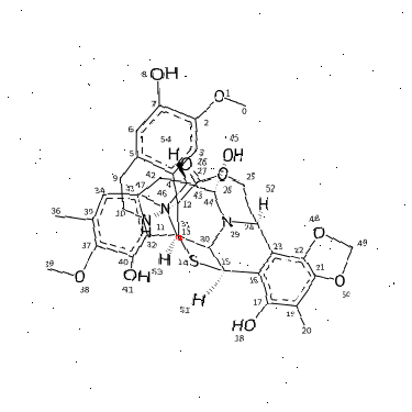 COc1cc2c(cc1O)CCN[C@]21CS[C@@H]2c3c(O)c(C)c4c(c3[C@H](COC1=O)N1C2[C@H]2c3c(cc(C)c(OC)c3O)C[C@H]([C@@H]1O)N2C)OCO4